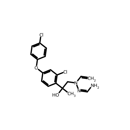 C=CN(CC(C)(O)c1ccc(Oc2ccc(Cl)cc2)cc1Cl)/N=C\N